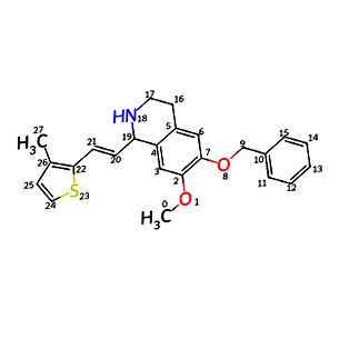 COc1cc2c(cc1OCc1ccccc1)CCNC2/C=C/c1sccc1C